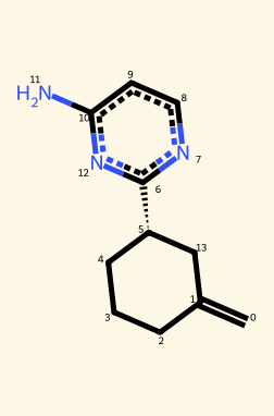 C=C1CCC[C@H](c2nccc(N)n2)C1